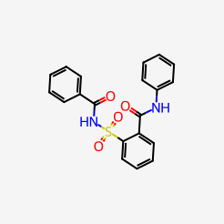 O=C(NS(=O)(=O)c1ccccc1C(=O)Nc1ccccc1)c1ccccc1